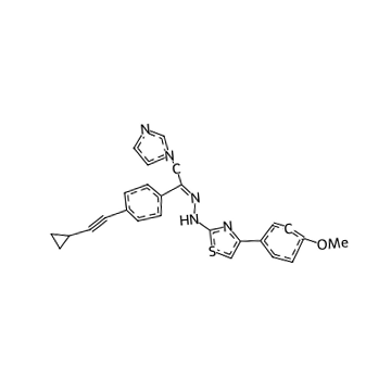 COc1ccc(-c2csc(N/N=C(/Cn3ccnc3)c3ccc(C#CC4CC4)cc3)n2)cc1